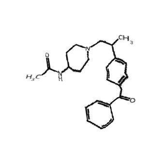 CC(=O)NC1CCN(CC(C)c2ccc(C(=O)c3ccccc3)cc2)CC1